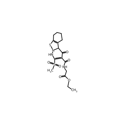 CCOC(=O)CNC(=O)C1=C(S(C)(=O)=O)NN2SC3=C(CCCC3)C2C1=O